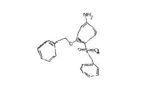 Nc1ccc(S(=O)(=O)c2ccccc2)c(OCc2ccccc2)c1